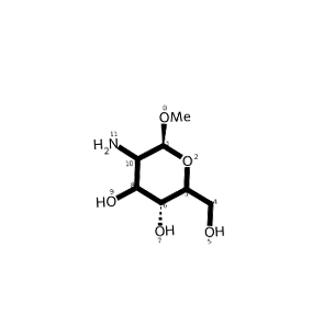 CO[C@H]1OC(CO)[C@H](O)C(O)C1N